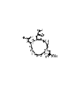 O=C(O)CC1CNCCN(CC(=O)O)CCCNCCN(CC(=O)O)C1